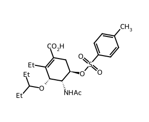 CCC1=C(C(=O)O)C[C@@H](OS(=O)(=O)c2ccc(C)cc2)[C@H](NC(C)=O)[C@@H]1OC(CC)CC